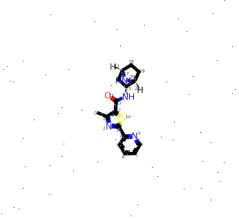 Cc1nc(-c2ccccn2)sc1C(=O)N[C@@H]1C[C@H]2CC[C@@H]1N2